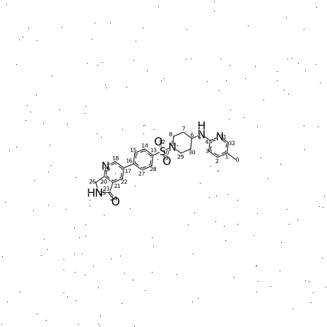 Cc1ccc(NC2CCN(S(=O)(=O)c3ccc(-c4cnc5c(c4)C(=O)NC5)cc3)CC2)nc1